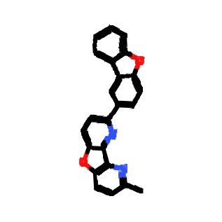 Cc1ccc2oc3ccc(-c4ccc5oc6ccccc6c5c4)nc3c2n1